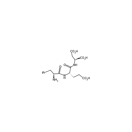 CC(C)C[C@H](N)C(=O)N[C@@H](CCC(=O)O)C(=O)N[C@@H](CC(=O)O)C(=O)O